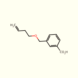 C=CCCOCc1cccc(C(=O)O)c1